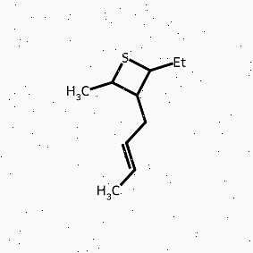 CC=CCC1C(C)SC1CC